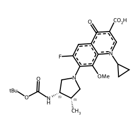 COc1c(N2C[C@H](C)[C@H](NC(=O)OC(C)(C)C)C2)c(F)cc2c(=O)c(C(=O)O)cn(C3CC3)c12